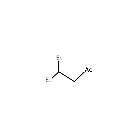 [CH2]C(=O)CC(CC)CC